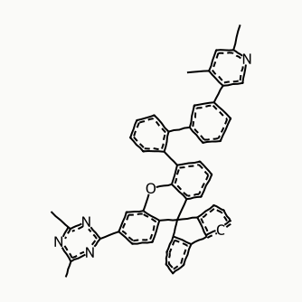 Cc1cc(C)c(-c2cccc(-c3ccccc3-c3cccc4c3Oc3cc(-c5nc(C)nc(C)n5)ccc3C43c4ccccc4-c4ccccc43)c2)cn1